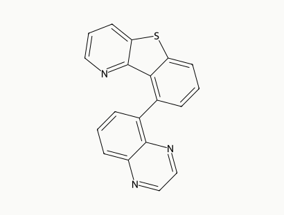 c1cc(-c2cccc3sc4cccnc4c23)c2nccnc2c1